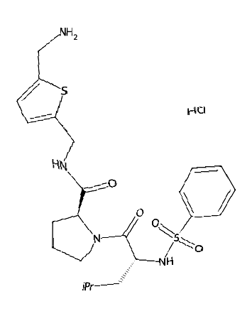 CC(C)C[C@@H](NS(=O)(=O)c1ccccc1)C(=O)N1CCC[C@H]1C(=O)NCc1ccc(CN)s1.Cl